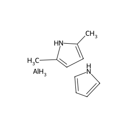 Cc1ccc(C)[nH]1.[AlH3].c1cc[nH]c1